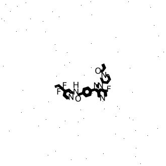 C=CC(=O)N1CCC[C@@H](n2nc(-c3ccc(C(=O)Nc4cc(C(F)(F)CC)ccn4)cc3)c3cncc(F)c32)C1